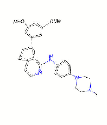 COc1cc(OC)cc(-c2ccc3ccnc(Nc4ccc(N5CCN(C)CC5)cc4)c3c2)c1